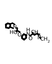 C=N/C=C\C=C(/C)C(=O)Nc1cccc(OCC(O)CN2CCc3ccccc3C2)c1